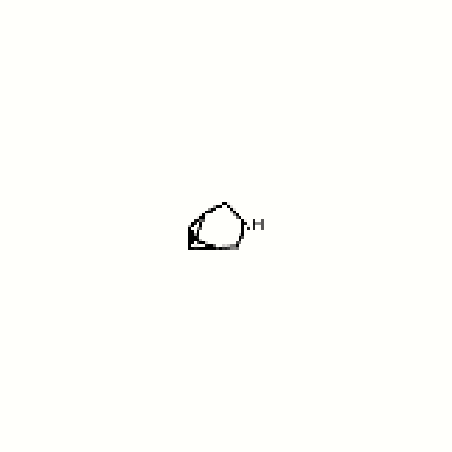 C1=CC2CNCC1C2